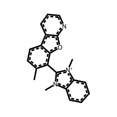 Cc1ccc2c(oc3ncccc32)c1-c1n(C)c2ccccc2[n+]1C